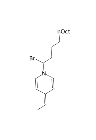 CC=C1C=CN(C(Br)CCCCCCCCCCC)C=C1